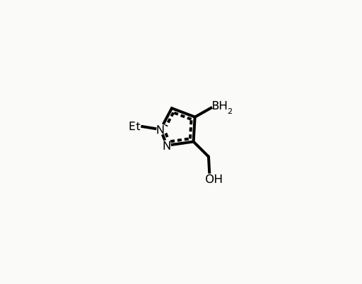 Bc1cn(CC)nc1CO